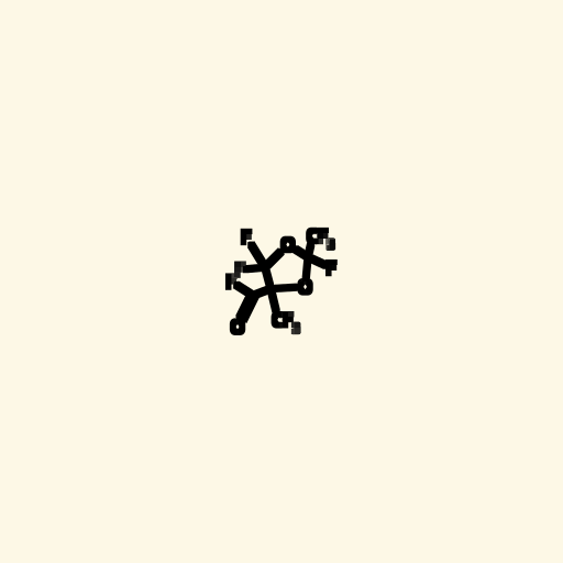 O=C(F)C1(C(F)(F)F)OC(F)(C(F)(F)F)OC1(F)F